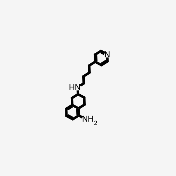 Nc1cccc2c1CCC(NCCCCc1ccncc1)C2